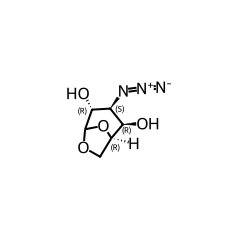 [N-]=[N+]=N[C@H]1[C@@H](O)[C@H]2COC(O2)[C@@H]1O